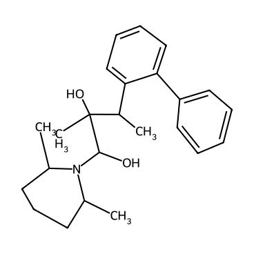 CC1CCCC(C)N1C(O)C(C)(O)C(C)c1ccccc1-c1ccccc1